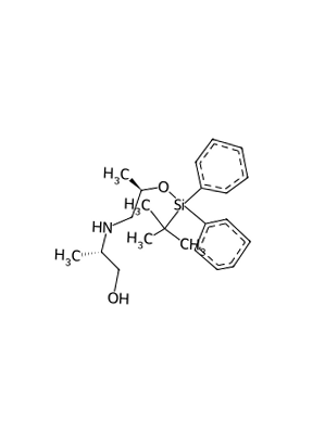 C[C@H](CN[C@@H](C)CO)O[Si](c1ccccc1)(c1ccccc1)C(C)(C)C